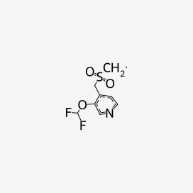 [CH2]S(=O)(=O)Cc1ccncc1OC(F)F